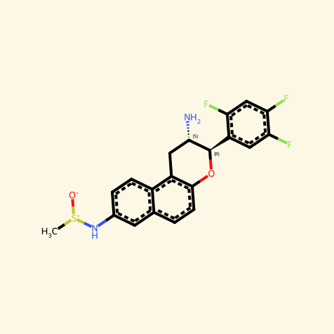 C[S+]([O-])Nc1ccc2c3c(ccc2c1)O[C@H](c1cc(F)c(F)cc1F)[C@@H](N)C3